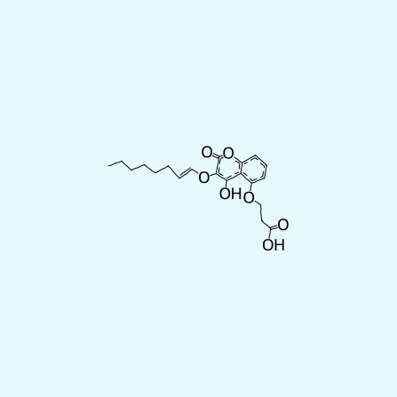 CCCCCCC=COc1c(O)c2c(OCCC(=O)O)cccc2oc1=O